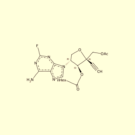 C#C[C@]1(COC(C)=O)OC[C@@H](n2cnc3c(N)nc(F)nc32)[C@@H]1OC(=O)CCCCCC